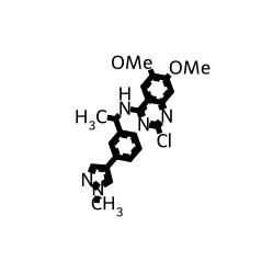 COc1cc2nc(Cl)nc(NC(C)c3cccc(-c4cnn(C)c4)c3)c2cc1OC